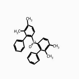 Cc1ccc([S+]([O-])c2ccc(C)c(C)c2-c2ccccc2)c(-c2ccccc2)c1C